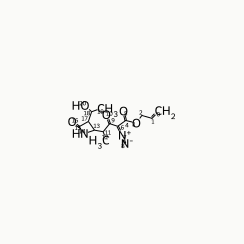 C=CCOC(=O)C(=[N+]=[N-])C(=O)C(C)C1NC(=O)C1C(C)O